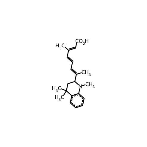 CC(C=CC=C(C)C1CC(C)(C)c2ccccc2N1C)=CC(=O)O